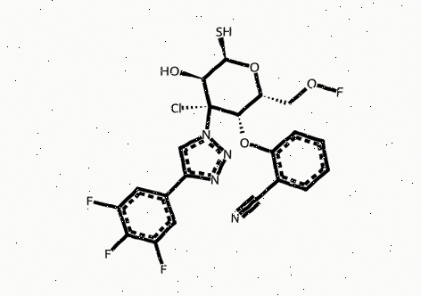 N#Cc1ccccc1O[C@H]1[C@@H](COF)O[C@H](S)[C@H](O)[C@]1(Cl)n1cc(-c2cc(F)c(F)c(F)c2)nn1